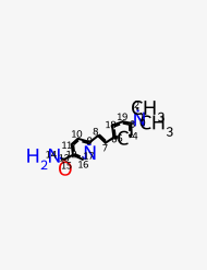 CN(C)c1ccc(C=Cc2ccc(C(N)=O)cn2)cc1